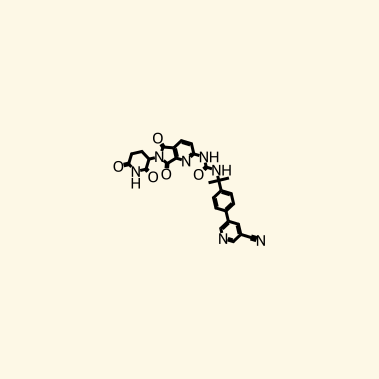 CC(C)(NC(=O)Nc1ccc2c(n1)C(=O)N(C1CCC(=O)NC1=O)C2=O)c1ccc(-c2cncc(C#N)c2)cc1